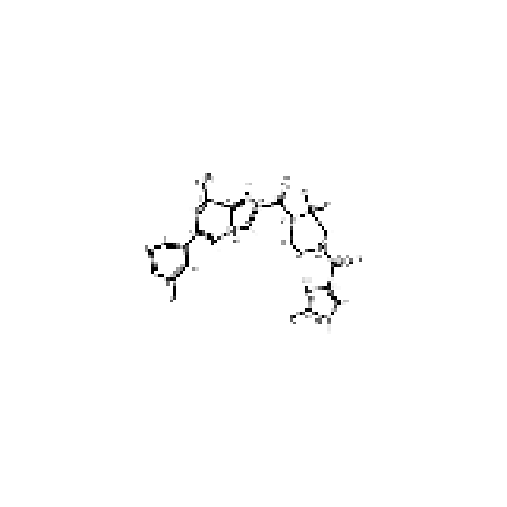 Cc1cccc(-c2cc(C(C)(C)C)c3nc(C(=O)N4CCN(C(=O)c5c[nH]c(C)n5)CC4(C)C)cn3n2)c1